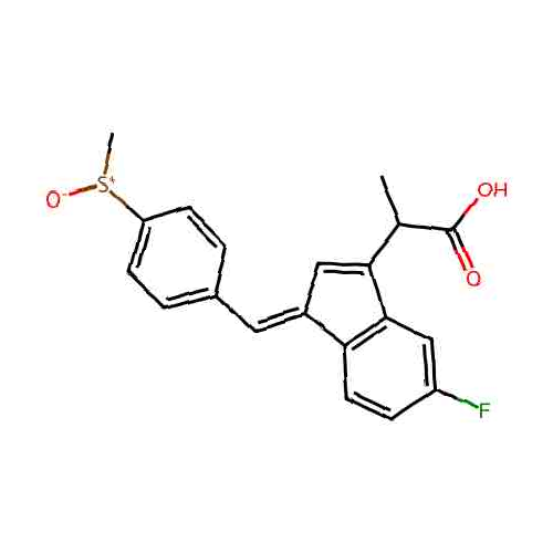 CC(C(=O)O)C1=CC(=Cc2ccc([S+](C)[O-])cc2)c2ccc(F)cc21